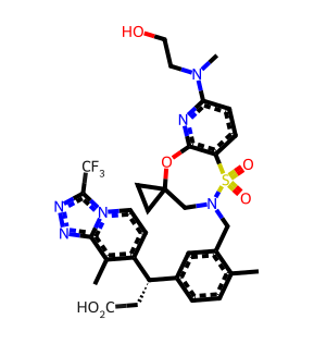 Cc1ccc([C@H](CC(=O)O)c2ccn3c(C(F)(F)F)nnc3c2C)cc1CN1CC2(CC2)Oc2nc(N(C)CCO)ccc2S1(=O)=O